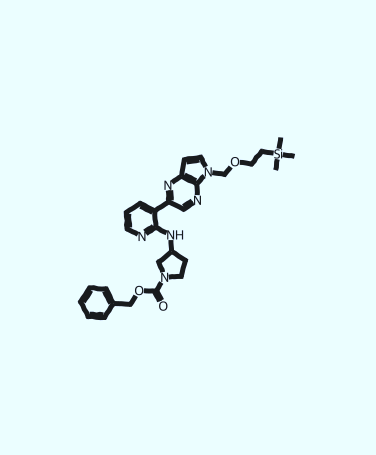 C[Si](C)(C)CCOCn1ccc2nc(-c3cccnc3NC3CCN(C(=O)OCc4ccccc4)C3)cnc21